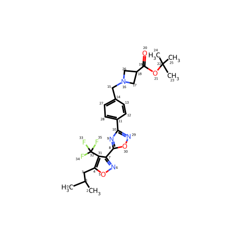 CC(C)Cc1onc(-c2nc(-c3ccc(CN4CC(C(=O)OC(C)(C)C)C4)cc3)no2)c1C(F)(F)F